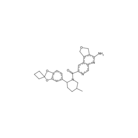 CC1CCC(c2ccc3c(c2)OC2(CCC2)O3)N(C(=O)c2cc3c4c(c(N)nc3cn2)COC4)C1